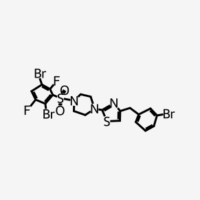 O=S(=O)(c1c(F)c(Br)cc(F)c1Br)N1CCN(c2nc(Cc3cccc(Br)c3)cs2)CC1